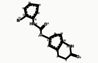 O=C1CCc2cc(OC(=O)Nc3ccccc3Br)ccc2N1